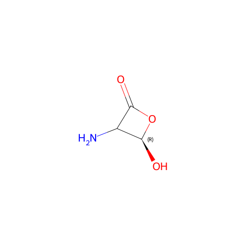 NC1C(=O)O[C@H]1O